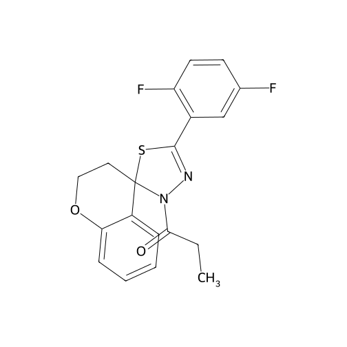 CCC(=O)N1N=C(c2cc(F)ccc2F)SC12CCOc1ccccc12